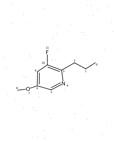 CCCc1ncc(OC)cc1F